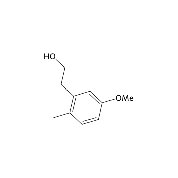 COc1ccc(C)c(CCO)c1